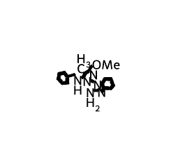 COCc1nc(-n2c(N)nc3ccccc32)nc(NCc2ccccc2)c1C